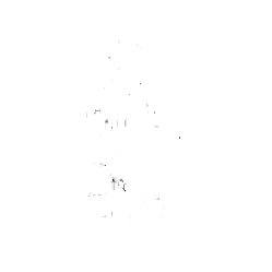 CN1CCN(c2ccccc2OCC(=O)NCCCN2CCc3ccccc3C2)CC1